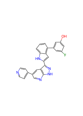 Oc1cc(F)cc(-c2cccc3[nH]c(-c4n[nH]c5ncc(-c6ccncc6)cc45)cc23)c1